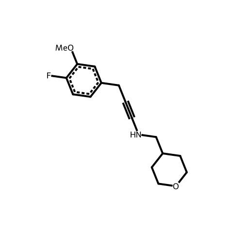 COc1cc(CC#CNCC2CCOCC2)ccc1F